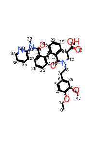 CCOc1ccc(CCN(CCC(=O)O)C(=O)c2ccccc2-c2ccccc2C(=O)N(C)c2ccccn2)cc1OC